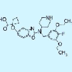 CCOc1cc(CN(c2nc3cc(OC4(C(=O)O)CCC4)ccc3o2)C2CCNCC2)cc(OCC)c1F